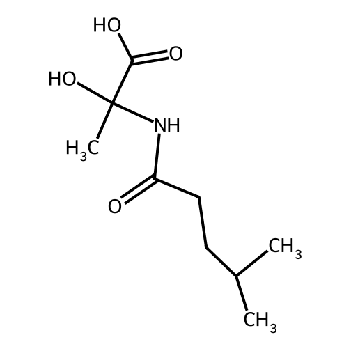 CC(C)CCC(=O)NC(C)(O)C(=O)O